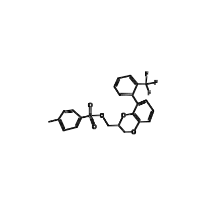 Cc1ccc(S(=O)(=O)OCC2COc3cccc(-c4ccccc4C(F)(F)F)c3O2)cc1